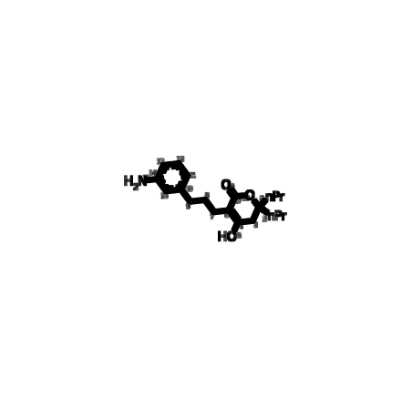 CCCC1(CCC)CC(O)=C(CCCc2cccc(N)c2)C(=O)O1